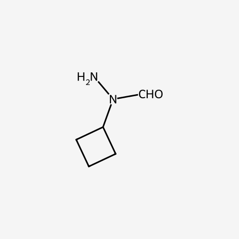 NN(C=O)C1CCC1